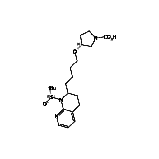 CC(C)(C)[S@@+]([O-])N1c2ncccc2CCC1CCCCO[C@@H]1CCN(C(=O)O)C1